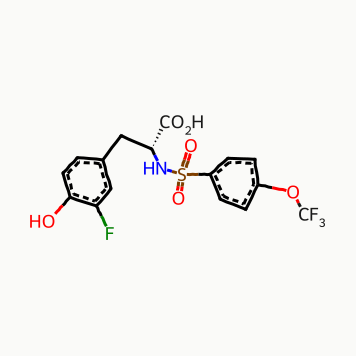 O=C(O)[C@@H](Cc1ccc(O)c(F)c1)NS(=O)(=O)c1ccc(OC(F)(F)F)cc1